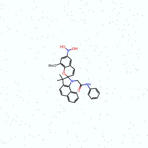 COc1cc(N(O)O)cc2c1OC1(C=C2)N(CC(=O)Nc2ccccc2)c2c(ccc3ccccc23)C1(C)C